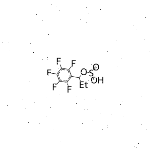 CCC(OS(=O)O)c1c(F)c(F)c(F)c(F)c1F